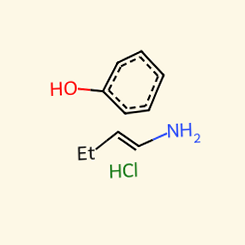 CCC=CN.Cl.Oc1ccccc1